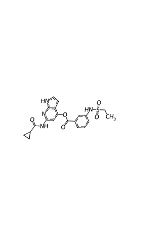 CCS(=O)(=O)Nc1cccc(C(=O)Oc2cc(NC(=O)C3CC3)nc3[nH]ccc23)c1